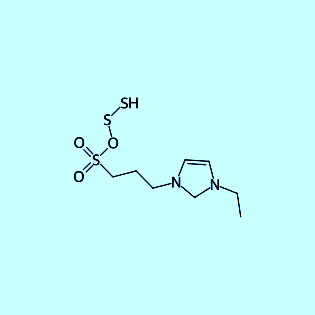 CCN1C=CN(CCCS(=O)(=O)OSS)C1